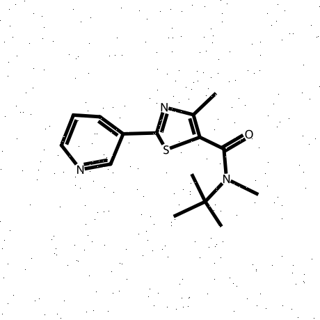 Cc1nc(-c2cccnc2)sc1C(=O)N(C)C(C)(C)C